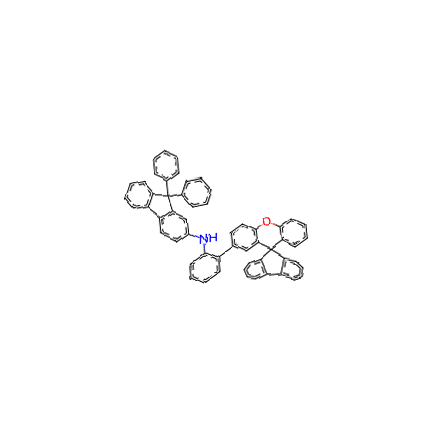 c1ccc(C2(c3ccccc3)c3ccccc3-c3ccc(Nc4ccccc4-c4ccc5c(c4)C4(c6ccccc6O5)c5ccccc5-c5ccccc54)cc32)cc1